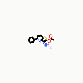 CC(=O)Oc1sc2ccc(-c3ccccc3)nc2c1N